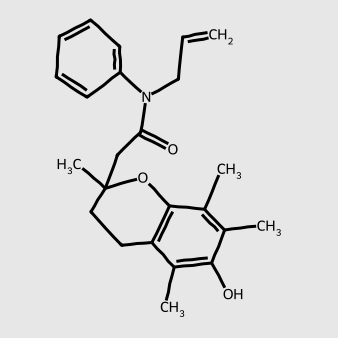 C=CCN(C(=O)CC1(C)CCc2c(C)c(O)c(C)c(C)c2O1)c1ccccc1